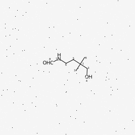 CC(C)(CO)CCNC=O